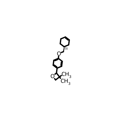 CC1(C)COC1c1ccc(OC[C@@H]2CC=CCC2)cc1